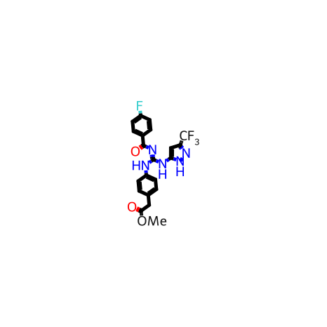 COC(=O)Cc1ccc(N/C(=N\C(=O)c2ccc(F)cc2)Nc2cc(C(F)(F)F)n[nH]2)cc1